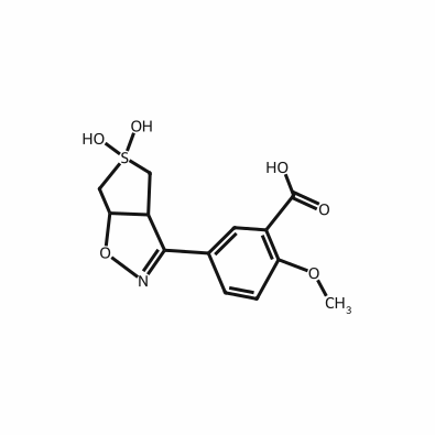 COc1ccc(C2=NOC3CS(O)(O)CC23)cc1C(=O)O